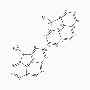 Cn1c2cccc3ccc4cc(-c5cc6ccc7cccc8c7c6c(c5)n8C)cc1c4c32